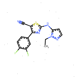 CCn1nccc1Nc1nc(-c2ccc(F)c(F)c2)c(C#N)s1